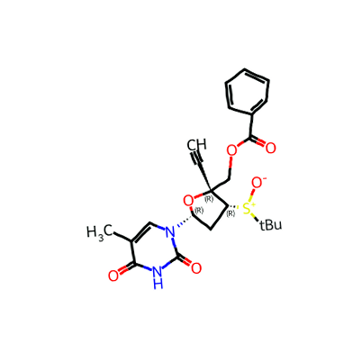 C#C[C@]1(COC(=O)c2ccccc2)O[C@@H](n2cc(C)c(=O)[nH]c2=O)C[C@H]1[S+]([O-])C(C)(C)C